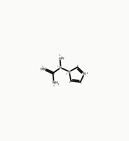 CCCN(C(=N)N)n1ccnc1